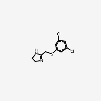 Clc1cc(Cl)cc(SCC2=NCCN2)c1